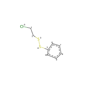 ClCCSSc1ccccc1